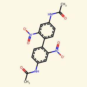 CC(=O)Nc1ccc(-c2ccc(NC(C)=O)cc2[N+](=O)[O-])c([N+](=O)[O-])c1